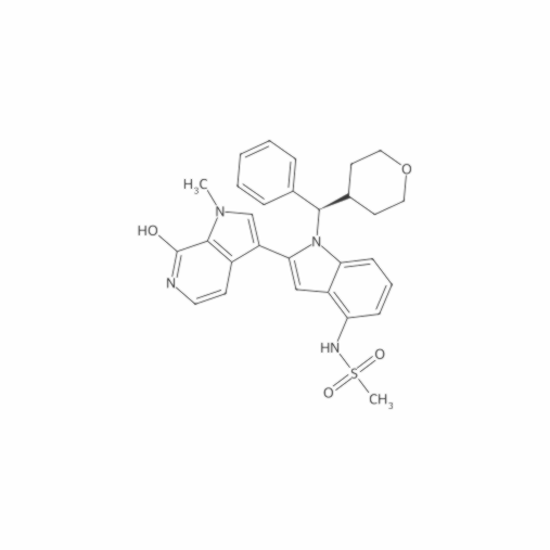 Cn1cc(-c2cc3c(NS(C)(=O)=O)cccc3n2[C@@H](c2ccccc2)C2CCOCC2)c2ccnc(O)c21